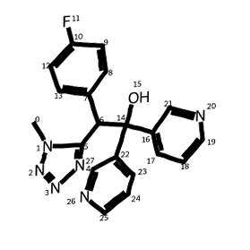 Cn1nnnc1C(c1ccc(F)cc1)C(O)(c1cccnc1)c1cccnc1